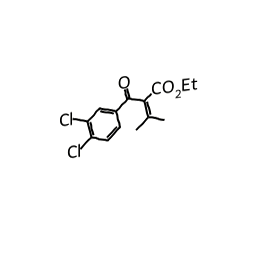 CCOC(=O)C(C(=O)c1ccc(Cl)c(Cl)c1)=C(C)C